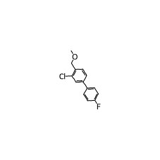 COCc1ccc(-c2ccc(F)cc2)cc1Cl